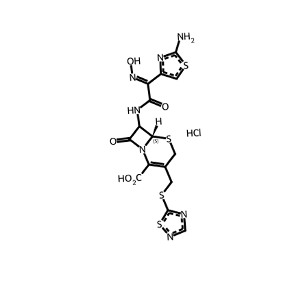 Cl.Nc1nc(C(=NO)C(=O)NC2C(=O)N3C(C(=O)O)=C(CSc4ncns4)CS[C@@H]23)cs1